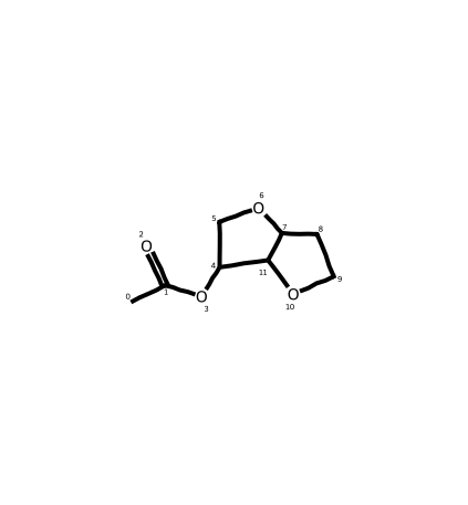 CC(=O)OC1COC2CCOC21